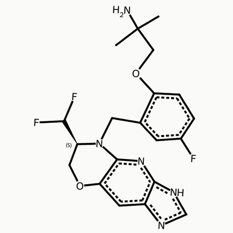 CC(C)(N)COc1ccc(F)cc1CN1c2nc3[nH]cnc3cc2OC[C@H]1C(F)F